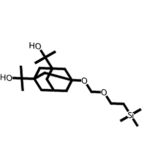 CC(C)(O)C12CC3CC(OCOCC[Si](C)(C)C)(C1)CC(C(C)(C)O)(C3)C2